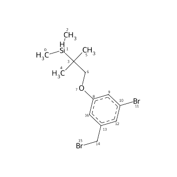 C[SiH](C)C(C)(C)COc1cc(Br)cc(CBr)c1